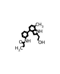 C=CC(=O)Nc1cccc(-c2ccc(C)c3[nH]c(CCO)cc23)c1